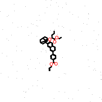 C=CCOC(=O)c1ccc(-c2ccc3cc(OC(CCC)C(=O)OCC)c(C45CC6CC(CC(C6)C4)C5)cc3c2)cc1